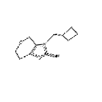 N=c1sc2c(n1CC1CCC1)COCC2